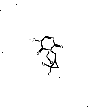 CCS[N+]1(CC2CC2(Cl)Cl)C(=O)N=CN(C)C1=O